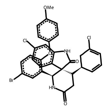 COc1ccc(Oc2ccc(Br)cc2[C@@H]2NC(=O)CC([C@@H]3C=CC=C(Cl)C3)[C@]23C(=O)Nc2cc(Cl)ccc23)cc1